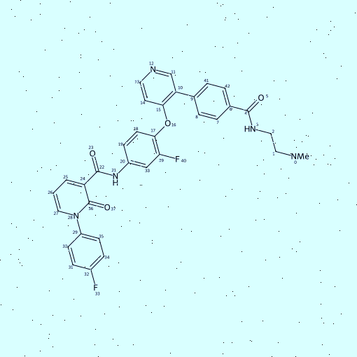 CNCCNC(=O)c1ccc(-c2cnccc2Oc2ccc(NC(=O)c3cccn(-c4ccc(F)cc4)c3=O)cc2F)cc1